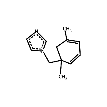 CC1=CC=CC(C)(Cn2ccnc2)C1